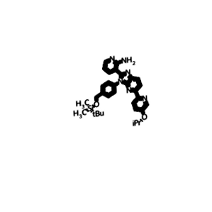 CC(C)Oc1ccc(-c2ccc3nc(-c4cccnc4N)n(-c4ccc(CO[Si](C)(C)C(C)(C)C)cc4)c3n2)nc1